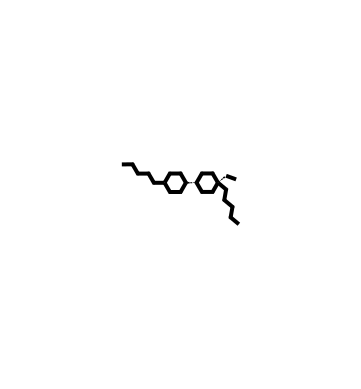 CCCCCC1CCC([C@H]2CC[C@](CC)(CCCCC)CC2)CC1